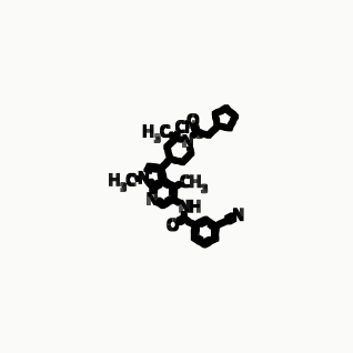 Cc1c(NC(=O)c2cccc(C#N)c2)cnc2c1c(C1CCN(C(=O)CC3CCCC3)C(C)(C)C1)cn2C